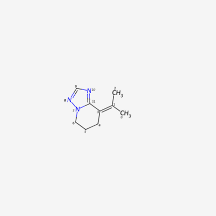 CC(C)=C1CCCn2ncnc21